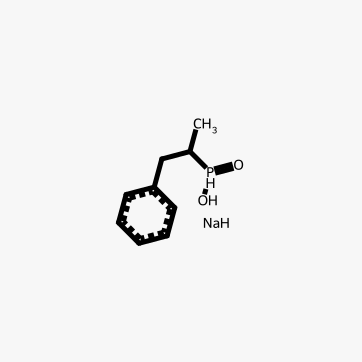 CC(Cc1ccccc1)[PH](=O)O.[NaH]